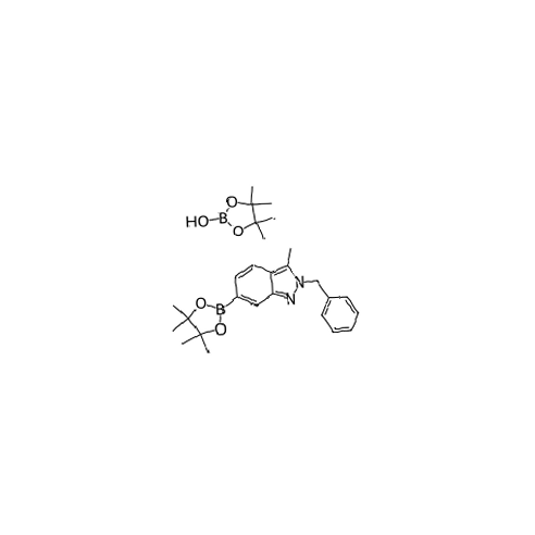 CC1(C)OB(O)OC1(C)C.Cc1c2ccc(B3OC(C)(C)C(C)(C)O3)cc2nn1Cc1ccccc1